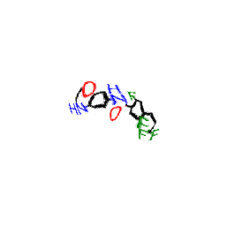 O=C(Nc1ccc2c(c1)OCCN2)c1ccc(/C=C\C(F)(F)F)cc1F